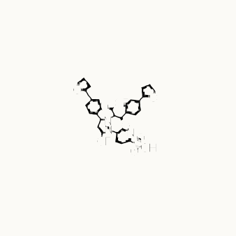 CS(=O)(=O)c1ccc(N2C(C(F)(F)F)=CC(c3ccc(-c4ccco4)cc3)N2C(C(=O)c2ccc(-c3ccco3)cc2)C(=O)C(F)(F)F)cn1